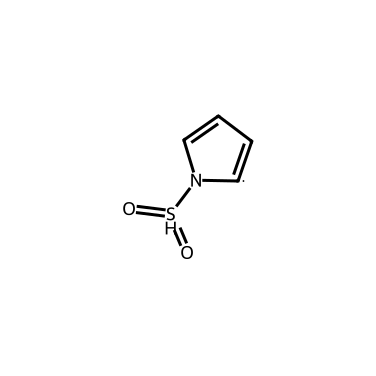 O=[SH](=O)n1[c]ccc1